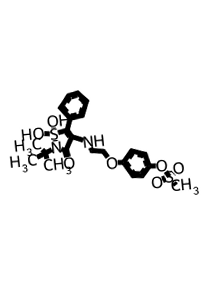 CC(C)(C)N1C(=O)C(NCCOc2ccc(OS(C)(=O)=O)cc2)=C(c2ccccc2)S1(O)O